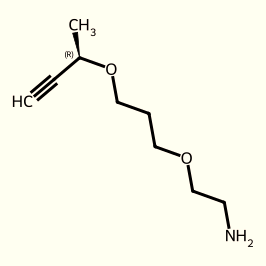 C#C[C@@H](C)OCCCOCCN